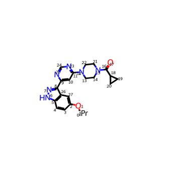 CC(C)Oc1ccc2[nH]nc(-c3cc(N4CCN(C(=O)C5CC5)CC4)ncn3)c2c1